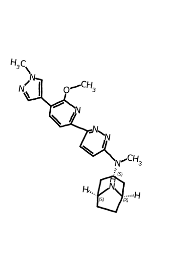 COc1nc(-c2ccc(N(C)[C@@H]3C[C@H]4CC[C@@H](C3)N4)nn2)ccc1-c1cnn(C)c1